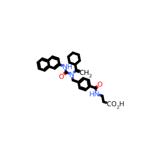 C=C(C1CCCCC1)N(Cc1ccc(C(=O)NCCC(=O)O)cc1)C(=O)Nc1ccc2ccccc2c1